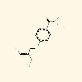 CCN(C)C(=O)c1ccc(OC/C(=C\F)CN)cc1